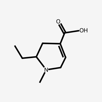 CCC1CC(C(=O)O)=CCN1C